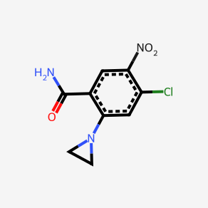 NC(=O)c1cc([N+](=O)[O-])c(Cl)cc1N1CC1